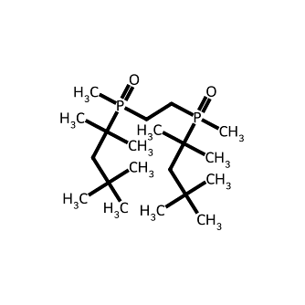 CC(C)(C)CC(C)(C)P(C)(=O)CCP(C)(=O)C(C)(C)CC(C)(C)C